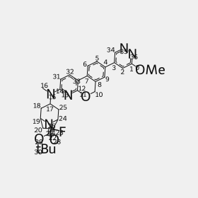 COc1cc(-c2ccc3c(c2)COc2nc(N(C)C4CC5CC(F)(F)C(C4)N5C(=O)OC(C)(C)C)ccc2-3)cnn1